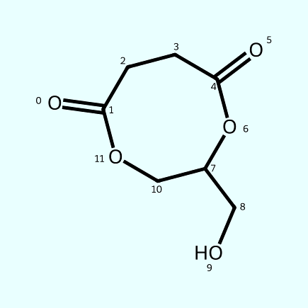 O=C1CCC(=O)OC(CO)CO1